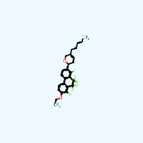 CCCCCC1=CCC(c2ccc3c(c2F)C(F)(F)C(F)(F)c2c-3ccc(OCC)c2F)OC1